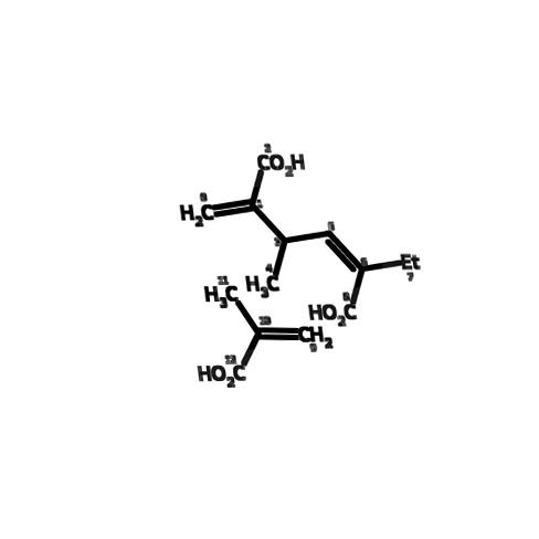 C=C(C(=O)O)C(C)C=C(CC)C(=O)O.C=C(C)C(=O)O